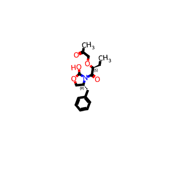 CC[C@H](OCC(C)=O)C(=O)N1C(O)OC[C@H]1Cc1ccccc1